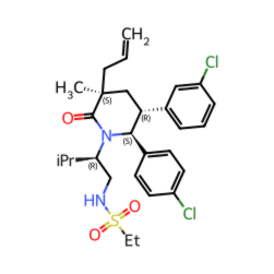 C=CC[C@@]1(C)C[C@H](c2cccc(Cl)c2)[C@@H](c2ccc(Cl)cc2)N([C@@H](CNS(=O)(=O)CC)C(C)C)C1=O